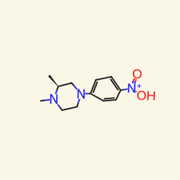 C[C@H]1CN(c2ccc([N+](=O)O)cc2)CCN1C